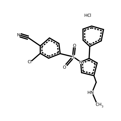 CNCc1cc(-c2ccccc2)n(S(=O)(=O)c2ccc(C#N)c(Cl)c2)c1.Cl